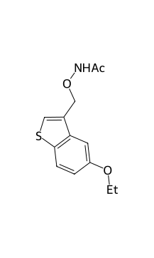 CCOc1ccc2scc(CONC(C)=O)c2c1